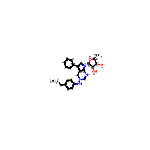 CCOC(=O)Cc1ccc(NN2C=Nc3c(c(-c4ccccc4)cn3[C@@H]3O[C@H](C)[C@@H](O)[C@H]3O)C2)cc1